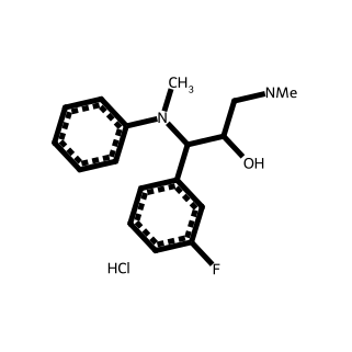 CNCC(O)C(c1cccc(F)c1)N(C)c1ccccc1.Cl